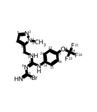 Cn1nccc1CN/C(=N/C(=N)Br)Nc1ccc(OC(F)(F)F)cc1